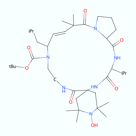 CC(C)CC1/C=C/C(C)(C)C(=O)N2CCCC2C(=O)NC(C(C)C)C(=O)NC2(CC(C)(C)N(O)C(C)(C)C2)C(=O)NCCN1C(=O)OC(C)(C)C